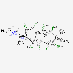 C/N=C/C(C#N)=c1\c(F)c(F)c2c(c1F)C(F)C1C(F)=C(F)C(=C(C#N)C#N)C(F)=C1C=2F